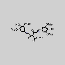 COC(=O)C(C(=O)/C=C/c1cc(CO)c(O)c(OC)c1)C(=O)/C=C/c1cc(OC)c(O)c(OC)c1